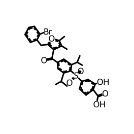 Cc1oc(Cc2ccccc2Br)c(C(=O)c2cc(C(C)C)c(S(=O)(=O)c3ccc(C(=O)O)c(O)c3)c(C(C)C)c2)c1C